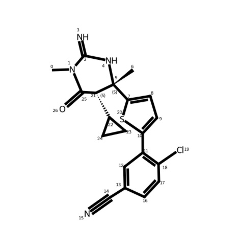 CN1C(=N)N[C@](C)(c2ccc(-c3cc(C#N)ccc3Cl)s2)[C@H](C2CC2)C1=O